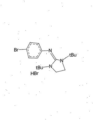 Br.CC(C)(C)N1CCN(C(C)(C)C)C1=Nc1ccc(Br)cc1